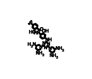 CN(C)c1ccc(C(=O)Nc2ccc(Nc3nc(N4C[C@H](N)C[C@H](N)C4)nc(N4C[C@H](N)C[C@H](N)C4)n3)cc2O)c(O)c1